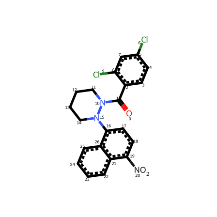 O=C(c1ccc(Cl)cc1Cl)N1CCCCN1c1ccc([N+](=O)[O-])c2ccccc12